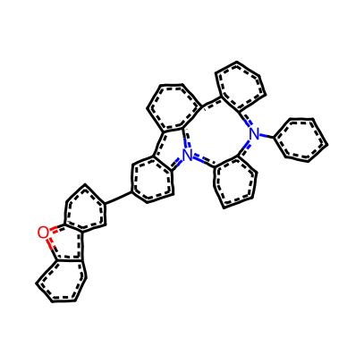 c1ccc(-n2c3ccccc3c3cccc4c5cc(-c6ccc7oc8ccccc8c7c6)ccc5n(c5ccccc52)c34)cc1